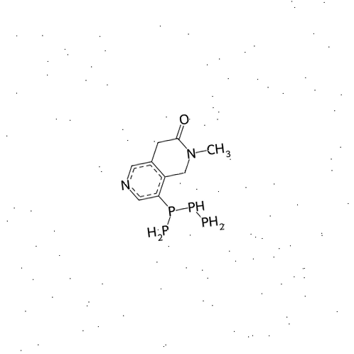 CN1Cc2c(cncc2P(P)PP)CC1=O